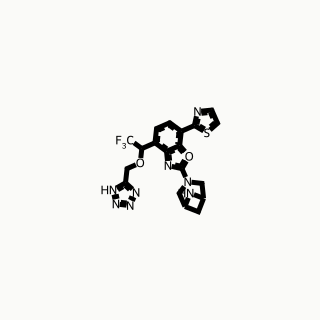 FC(F)(F)C(OCc1nnn[nH]1)c1ccc(-c2nccs2)c2oc(N3CC4CC(C3)N4)nc12